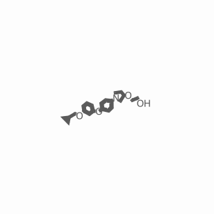 OCCO[C@@H]1CCN(c2ccc(Oc3cccc(OCC4CC4)c3)cc2)C1